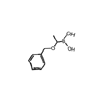 CC(OCc1ccccc1)B(O)O